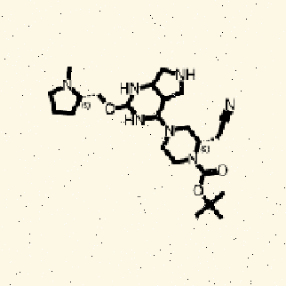 CN1CCC[C@H]1COC1NC2CNCC2C(N2CCN(C(=O)OC(C)(C)C)[C@@H](CC#N)C2)N1